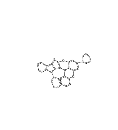 c1ccc(-c2cc3c4c(c2)Oc2sc5c6ccccc6n(-c6ccccc6)c5c2B4c2ccccc2O3)cc1